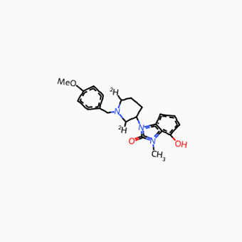 [2H]C1CCC(n2c(=O)n(C)c3c(O)cccc32)C([2H])N1Cc1ccc(OC)cc1